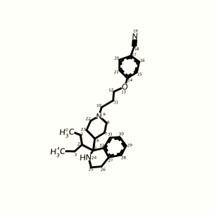 CCC(CC)C1(C2CCN(CCCOc3ccc(C#N)cc3)CC2)NCCc2ccccc21